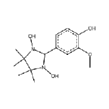 COc1cc(C2N(O)C(C)(C)C(C)(C)N2O)ccc1O